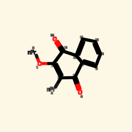 CCCOC1=C(CCC)C(=O)c2ccccc2C1=O